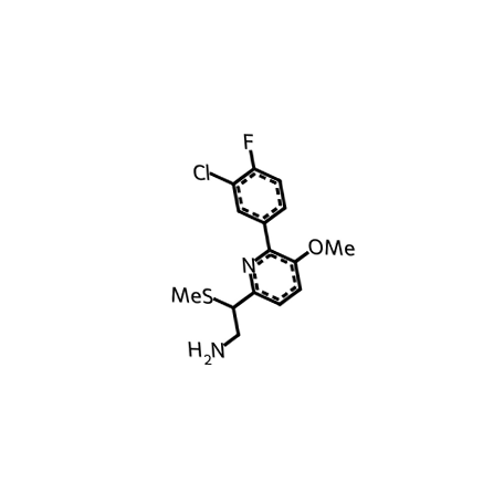 COc1ccc(C(CN)SC)nc1-c1ccc(F)c(Cl)c1